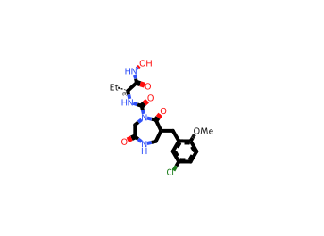 CC[C@@H](NC(=O)N1CC(=O)NCC(Cc2cc(Cl)ccc2OC)C1=O)C(=O)NO